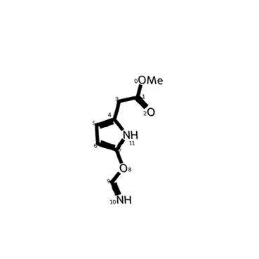 COC(=O)Cc1ccc(OC=N)[nH]1